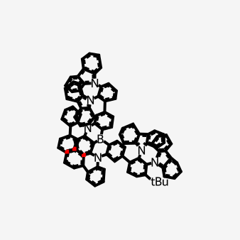 CC(C)(C)c1ccc(-c2ccc3c(c2)N(c2ccccc2-c2ccccc2)c2cccc4c2B3c2ccc(-c3cccc(-n5c6ccccc6c6ccccc65)c3-n3c5ccccc5c5ccccc53)cc2N4c2ccccc2-c2ccccc2)c(-n2c3ccccc3c3ccccc32)c1-n1c2ccccc2c2ccccc21